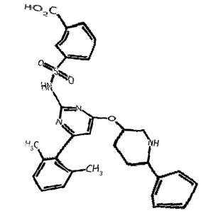 Cc1cccc(C)c1-c1cc(OC2CCC(c3ccccc3)NC2)nc(NS(=O)(=O)c2cccc(C(=O)O)c2)n1